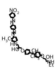 CCNCC(O)COc1ccc(C(C)(C)c2ccc(OCC(O)CNc3ccc(N=Nc4ccc(/N=N/c5ccc([N+](=O)[O-])cc5)cc4)c(C)c3)cc2)cc1